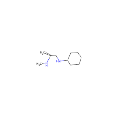 C=C(CNC1CCCCC1)NC